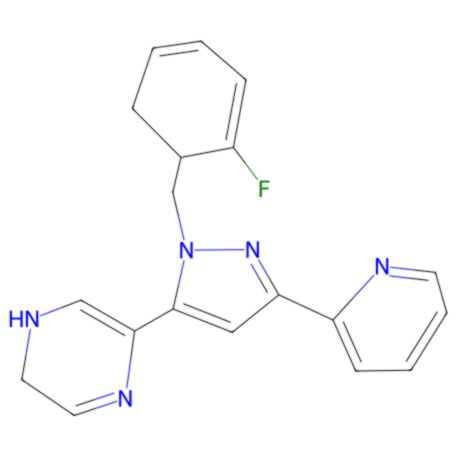 FC1=CC=CCC1Cn1nc(-c2ccccn2)cc1C1=CNCC=N1